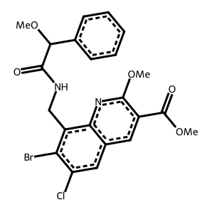 COC(=O)c1cc2cc(Cl)c(Br)c(CNC(=O)C(OC)c3ccccc3)c2nc1OC